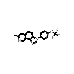 Cc1cc2ccc3c(ncn3-c3ccc(OC(F)(F)F)cc3)c2cn1